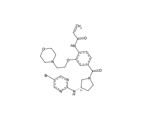 C=CC(=O)Nc1ccc(C(=O)N2CC[C@H](Nc3ncc(Br)cn3)C2)cc1OCCN1CCOCC1